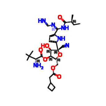 CC[C@H](C)C(=O)N/C(=N/C=N)c1ccc([C@]2(C#N)O[C@H](COC(=O)CC3CCC3)[C@@H](OC(=O)[C@H](N)C(C)(C)C)[C@H]2O)[nH]1